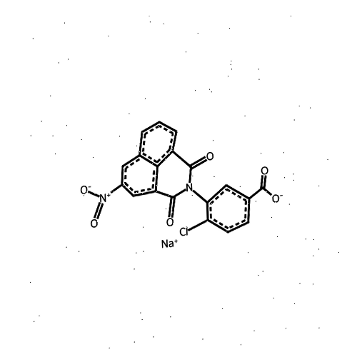 O=C([O-])c1ccc(Cl)c(N2C(=O)c3cccc4cc([N+](=O)[O-])cc(c34)C2=O)c1.[Na+]